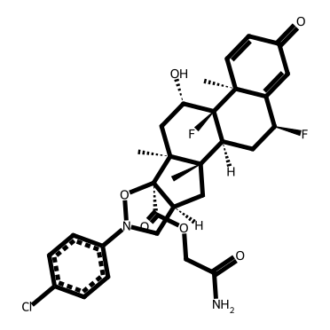 C[C@]12C[C@H](O)[C@@]3(F)[C@@H](C[C@H](F)C4=CC(=O)C=C[C@@]43C)[C@]1(C)C[C@H]1CN(c3ccc(Cl)cc3)O[C@]12C(=O)OCC(N)=O